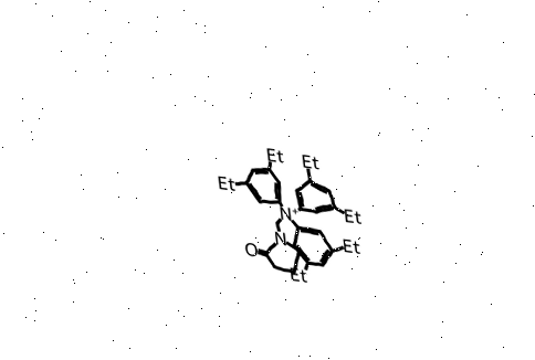 CCc1cc(CC)cc([N+](CN2CCCC2=O)(c2cc(CC)cc(CC)c2)c2cc(CC)cc(CC)c2)c1